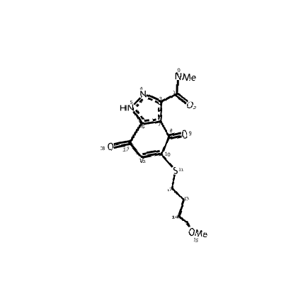 CNC(=O)c1n[nH]c2c1C(=O)C(SCCCOC)=CC2=O